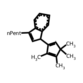 CCCCCC1=CC(C2=[C]C(C)(C)C(C)=C2C)c2ccccc21